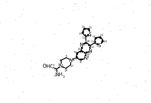 NC(C=O)N1CCN(c2cnc3nc(-c4cccs4)c(-c4cccs4)nc3c2)CC1